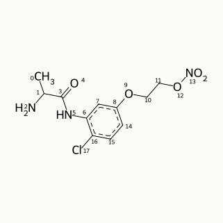 CC(N)C(=O)Nc1cc(OCCO[N+](=O)[O-])ccc1Cl